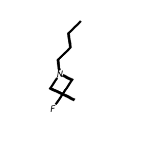 CCCCN1CC(C)(F)C1